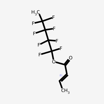 C/C=C/C(=O)OC(F)(F)C(F)(F)C(F)(F)C(C)(F)F